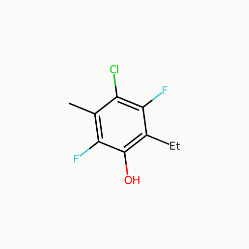 CCc1c(O)c(F)c(C)c(Cl)c1F